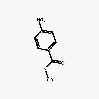 CCC[N]C(=O)c1ccc([N+](=O)[O-])cc1